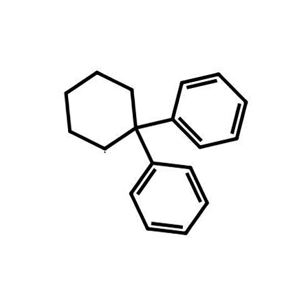 [CH]1CCCCC1(c1ccccc1)c1ccccc1